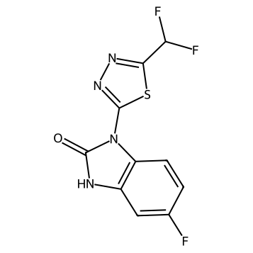 O=c1[nH]c2cc(F)ccc2n1-c1nnc(C(F)F)s1